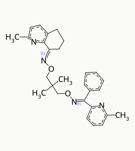 Cc1cccc(/C(=N/OCC(C)(C)CO/N=C2\CCCc3ccc(C)nc32)c2ccccc2)n1